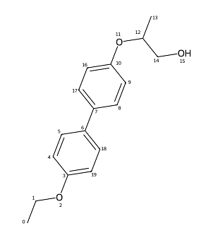 CCOc1ccc(-c2ccc(OC(C)CO)cc2)cc1